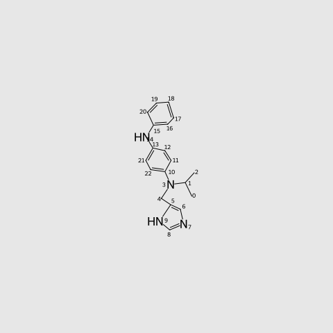 CC(C)N(Cc1cnc[nH]1)c1ccc(Nc2ccccc2)cc1